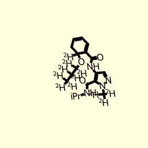 [2H]C1(OC([2H])([2H])C([2H])([2H])C([2H])([2H])[2H])CC=CC=C1C(=O)Nc1cnn(C([2H])([2H])[2H])c1C(=O)NC(C)C